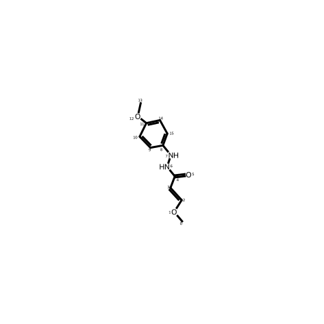 COC=CC(=O)NNc1ccc(OC)cc1